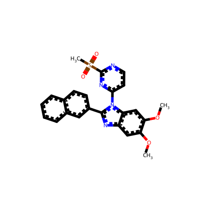 COc1cc2nc(-c3ccc4ccccc4c3)n(-c3ccnc(S(C)(=O)=O)n3)c2cc1OC